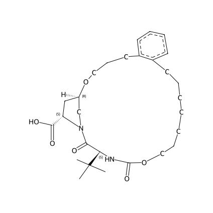 CC(C)(C)[C@@H]1NC(=O)OCCCCCCCc2ccccc2CCCO[C@@H]2C[C@@H](C(=O)O)N(C2)C1=O